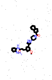 COc1cc(C=CC(=O)Nc2ccccc2N)cc(-c2cnn(C3CCN(C(=O)c4ccc5ccccc5c4)CC3)c2)c1